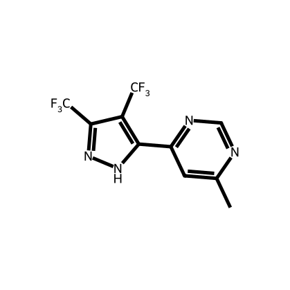 Cc1cc(-c2[nH]nc(C(F)(F)F)c2C(F)(F)F)ncn1